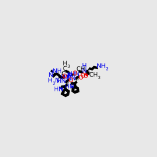 CC(=O)[C@H](CCCCN)NC(=O)[C@@H](C)NC(=O)[C@H](Cc1c[nH]c2ccccc12)NC(=O)N(CC(C)C)NC(=O)[C@@H](Cc1c[nH]c2ccccc12)NC(=O)[C@@H](N)Cc1cnc[nH]1